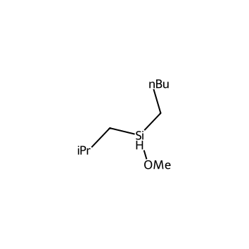 CCCCC[SiH](CC(C)C)OC